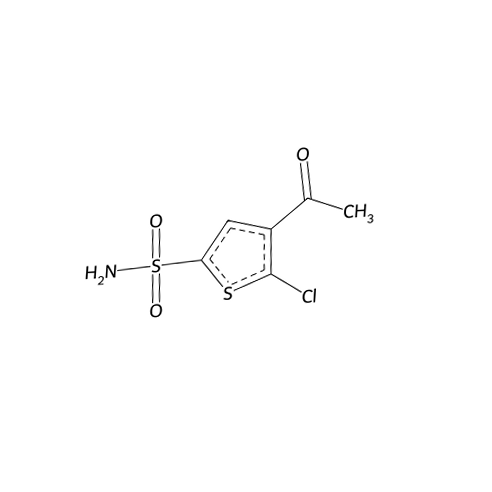 CC(=O)c1cc(S(N)(=O)=O)sc1Cl